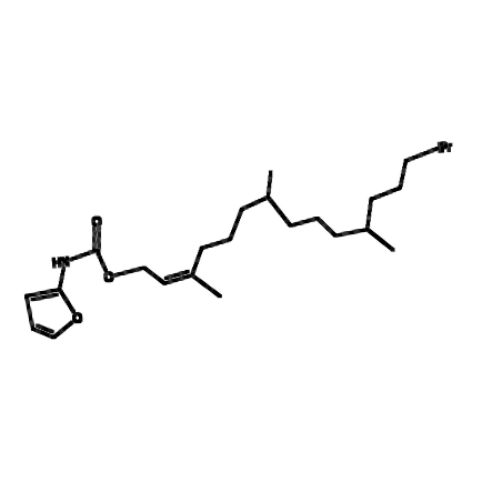 CC(=CCOC(=O)Nc1ccco1)CCCC(C)CCCC(C)CCCC(C)C